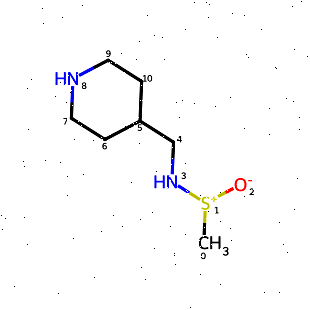 C[S+]([O-])NCC1CCNCC1